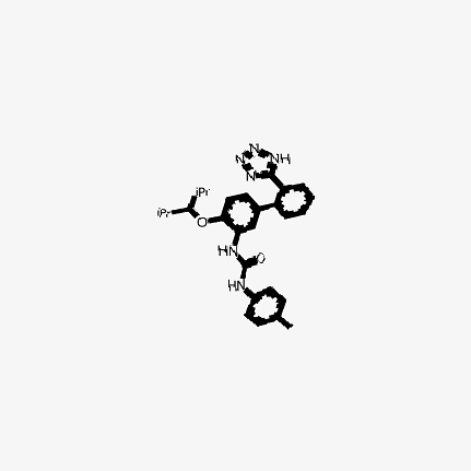 Cc1ccc(NC(=O)Nc2cc(-c3ccccc3-c3nnn[nH]3)ccc2OC(C(C)C)C(C)C)cc1